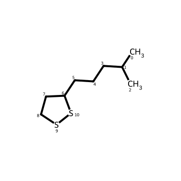 CC(C)CCCC1CCSS1